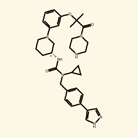 CC(C)(Oc1cccc(N2CCC[C@@H](NC(=O)N(Cc3ccc(-c4cn[nH]c4)cc3)C3CC3)C2)c1)C(=O)N1CCNCC1